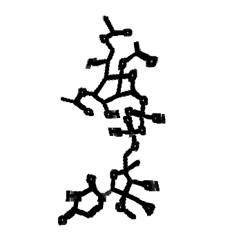 CO[C@@]1(C2CC2)[C@H](n2ccc(=O)[nH]c2=O)O[C@](C)(COP(=O)(S)OP(=O)(O)OC2OC3(OC(C)=O)C2C(O)C(OC(C)=O)C3[C@@H](F)COC(C)=O)[C@H]1O